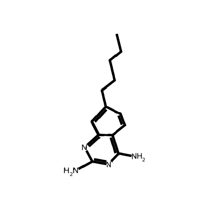 CCCCCc1ccc2c(N)nc(N)nc2c1